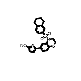 N#Cc1ccc(-c2ccc3c(c2)N(S(=O)(=O)c2ccc4c(c2)CCCC4)CCS3)s1